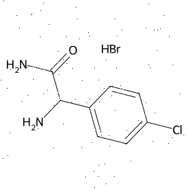 Br.NC(=O)C(N)c1ccc(Cl)cc1